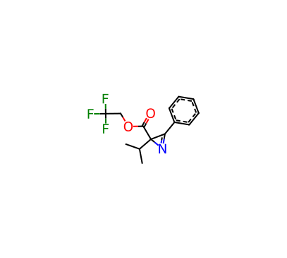 CC(C)C1(C(=O)OCC(F)(F)F)N=C1c1ccccc1